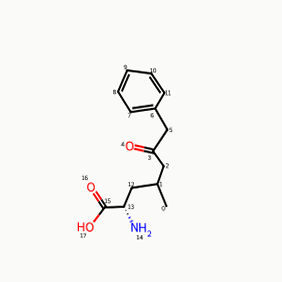 CC(CC(=O)Cc1ccccc1)C[C@H](N)C(=O)O